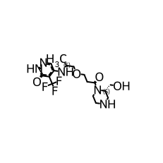 C[C@@H](COCCC(=O)N1CCNC[C@H]1CO)Nc1cn[nH]c(=O)c1C(F)(F)F